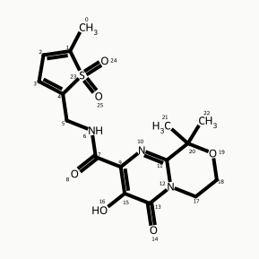 CC1=CC=C(CNC(=O)c2nc3n(c(=O)c2O)CCOC3(C)C)S1(=O)=O